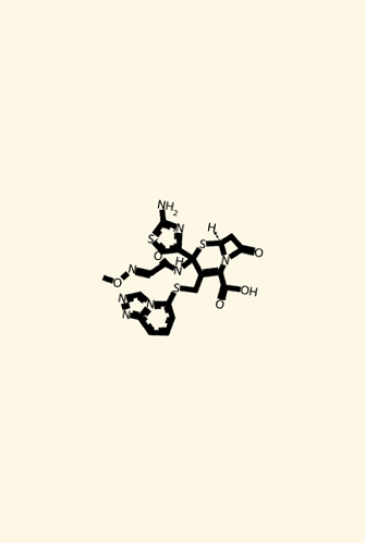 CON=CC(=O)NC1(c2csc(N)n2)S[C@H]2CC(=O)N2C(C(=O)O)=C1CSc1cccc2nncn12